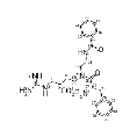 N=C(N)NCCC[C@@H](C(=O)O)N(CCNC(=O)c1ccccc1)C(=O)[C@@H](N)Cc1ccccc1